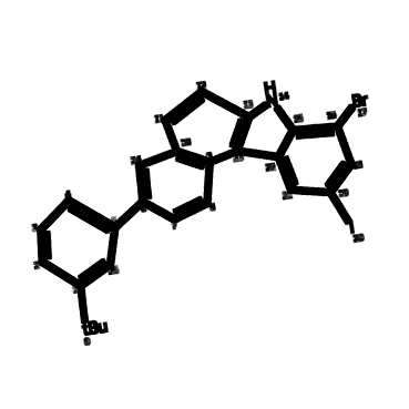 CC(C)(C)c1cccc(-c2ccc3c(ccc4[nH]c5c(Br)cc(I)cc5c43)c2)c1